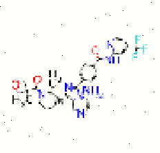 C[C@H]1[C@H](C2=C3C=NC=C[N+]3(N)C(c3ccc(C(=O)Nc4cc(C(F)(F)F)ccn4)cc3)=N2)CCCN1C(=O)C1(C)COC1